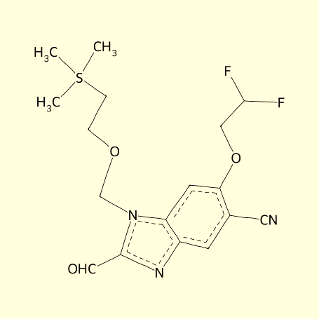 CS(C)(C)CCOCn1c(C=O)nc2cc(C#N)c(OCC(F)F)cc21